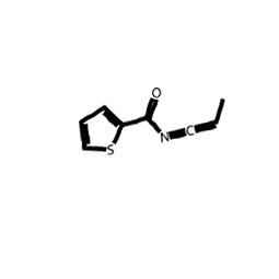 CC=C=NC(=O)c1cccs1